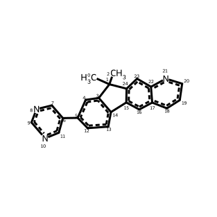 CC1(C)c2cc(-c3cncnc3)ccc2-c2cc3cccnc3cc21